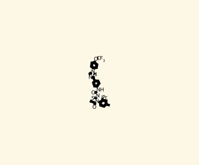 Cc1ccc(N2C(=O)CS/C2=N\C(=O)Nc2ccc(-c3ncn(-c4ccc(OC(F)(F)F)cc4)n3)cc2)c(C(C)C)c1